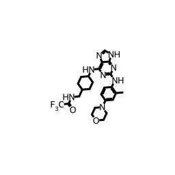 Cc1cc(N2CCOCC2)ccc1Nc1nc(NC2CCC(CNC(=O)C(F)(F)F)CC2)c2nc[nH]c2n1